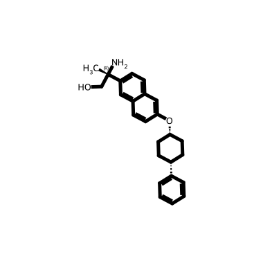 C[C@](N)(CO)c1ccc2cc(O[C@H]3CC[C@@H](c4ccccc4)CC3)ccc2c1